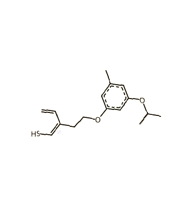 C=C/C(=C\S)CCOc1cc(C)cc(OC(C)C)c1